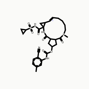 Cc1ccc(C#N)c(NC(=O)OC2CC3C(=O)NC4(C(=O)NS(=O)(=O)C5CC5)CC4/C=C/CCCCN(C)C(=O)C3C2)c1